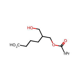 CCCC(=O)OCC(CO)CCCC(=O)O